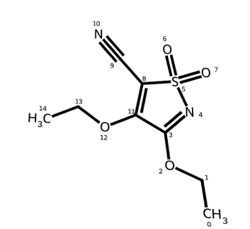 CCOC1=NS(=O)(=O)C(C#N)=C1OCC